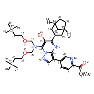 COC(=O)c1ccc(-c2cnn3c(N(COCC[Si](C)(C)C)COCC[Si](C)(C)C)c(Br)c([C@H]4C[C@@H]5CC[C@@H](C5)C4)nc23)cn1